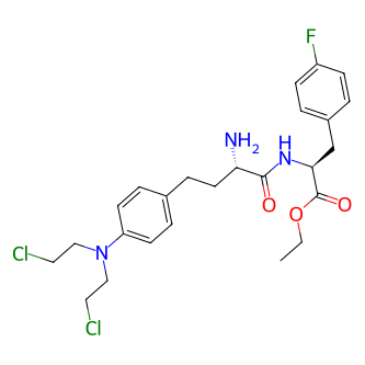 CCOC(=O)[C@H](Cc1ccc(F)cc1)NC(=O)[C@@H](N)CCc1ccc(N(CCCl)CCCl)cc1